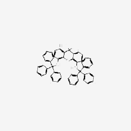 CC1(C)c2cccc(NC(c3ccccc3)(c3ccccc3)c3ccccc3)c2Oc2c(NC(c3ccccc3)(c3ccccc3)c3ccccc3)cccc21